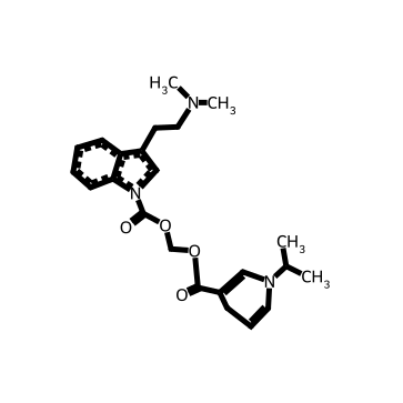 CC(C)N1C=CCC(C(=O)OCOC(=O)n2cc(CCN(C)C)c3ccccc32)=C1